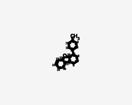 Cc1ccc(-c2cccc3c2oc2c#cccc23)cc1